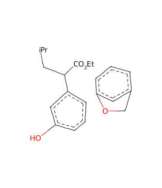 CCOC(=O)C(CC(C)C)c1cccc(O)c1.c1cc2cc(c1)OC2